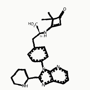 CC1(C)C(=O)C=C1N[C@@H](Cc1ccc(-n2c(C3CCCCN3)nc3cccnc32)cc1)C(=O)O